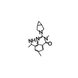 Cc1cc(C(C)N)c2nc(N3CC4CC4C3)n(C)c(=O)c2c1